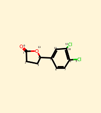 O=C1CCC(c2ccc(Cl)c(Cl)c2)O1